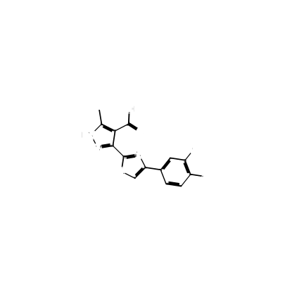 Cc1[nH]nc(-c2nc(-c3ccc(Cl)c(Cl)c3)cs2)c1C(=O)O